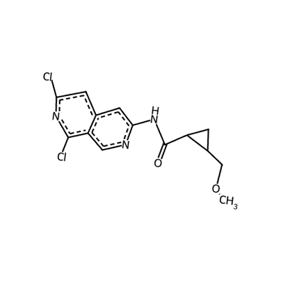 COCC1CC1C(=O)Nc1cc2cc(Cl)nc(Cl)c2cn1